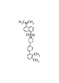 Cc1cccc(-c2ccc(C3CCN(S(=O)(=O)c4cccc5c(N(C)C)cccc45)CC3)cc2)c1C